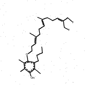 CCCCc1c(C)c(O)c(C)c(C)c1OCC/C=C(\C)CC/C=C(\C)CCC=C(CF)CF